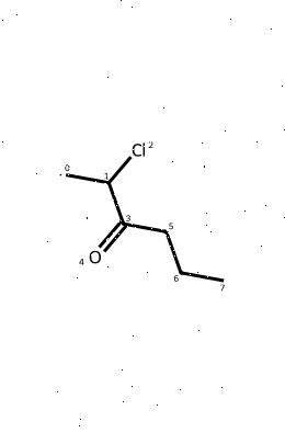 [CH2]C(Cl)C(=O)CCC